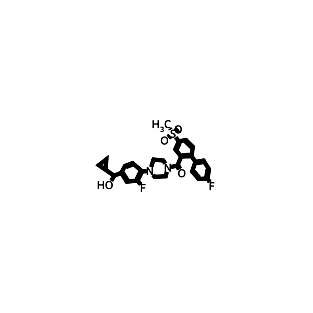 CS(=O)(=O)c1ccc(-c2ccc(F)cc2)c(C(=O)N2CCN(c3ccc(C(O)C4CC4)cc3F)CC2)c1